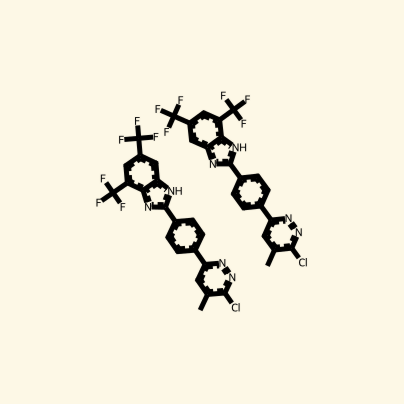 Cc1cc(-c2ccc(-c3nc4c(C(F)(F)F)cc(C(F)(F)F)cc4[nH]3)cc2)nnc1Cl.Cc1cc(-c2ccc(-c3nc4cc(C(F)(F)F)cc(C(F)(F)F)c4[nH]3)cc2)nnc1Cl